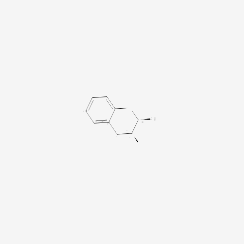 N[C@@H]1Oc2ccccc2C[C@@H]1O